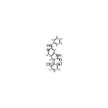 O=c1[nH]c2cc(Nc3ccccc3)ncc2cc1-c1c(Cl)cccc1Cl